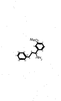 COc1cc[c]c([C@@H](N)CCc2ccccc2)c1